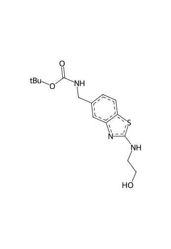 CC(C)(C)OC(=O)NCc1ccc2sc(NCCO)nc2c1